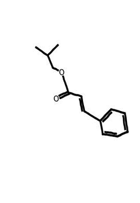 CC(C)COC(=O)C=Cc1ccccc1